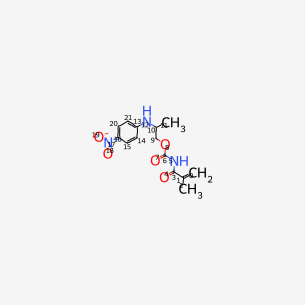 C=C(C)C(=O)NC(=O)OCC(C)Nc1ccc([N+](=O)[O-])cc1